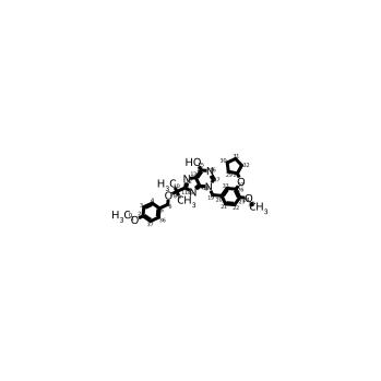 COc1ccc(COC(C)(C)c2nc3c(O)ncn(Cc4ccc(OC)c(OC5CCCC5)c4)c-3n2)cc1